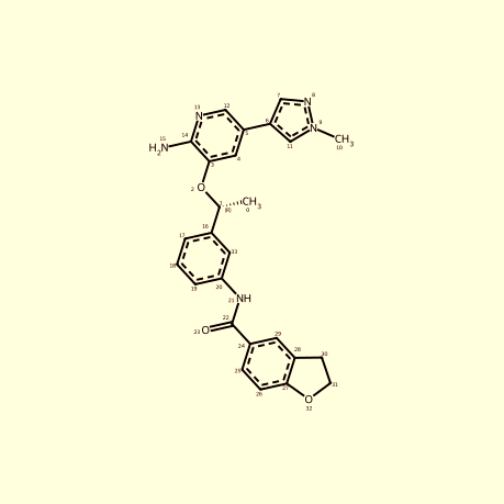 C[C@@H](Oc1cc(-c2cnn(C)c2)cnc1N)c1cccc(NC(=O)c2ccc3c(c2)CCO3)c1